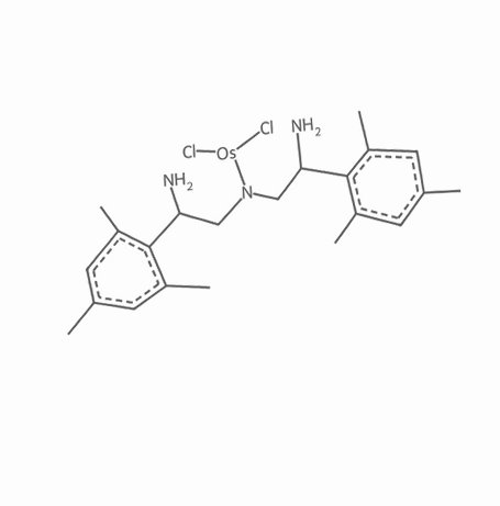 Cc1cc(C)c(C(N)C[N](CC(N)c2c(C)cc(C)cc2C)[Os]([Cl])[Cl])c(C)c1